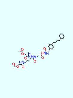 CC(=O)OCC(=O)NCCC[C@H](NC(=O)COC(C)=O)C(=O)NCCC(=O)ONC(=O)Cc1ccc(CCCCc2ccccc2)cc1